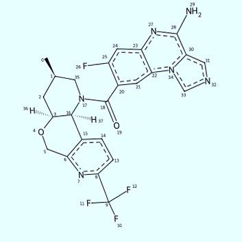 C[C@@H]1C[C@@H]2OCc3nc(C(F)(F)F)ccc3[C@@H]2N(C(=O)c2cc3c(cc2F)nc(N)c2cncn23)C1